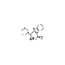 COC(=O)c1c(C(O)C2CCCCC2)sc2c1CCCC2